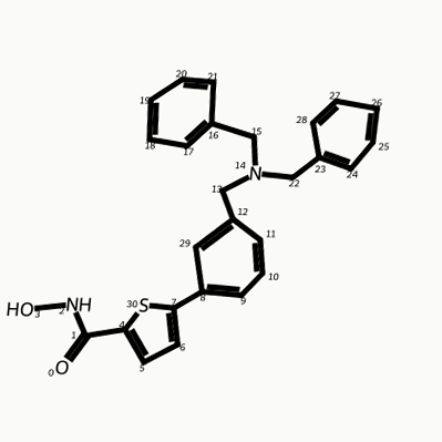 O=C(NO)c1ccc(-c2cccc(CN(Cc3ccccc3)Cc3ccccc3)c2)s1